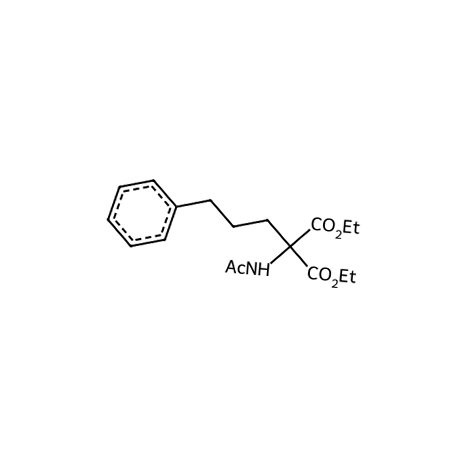 CCOC(=O)C(CCCc1ccccc1)(NC(C)=O)C(=O)OCC